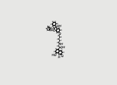 O=C(O[C@H]1CN2CCC1CC2)C(O)(c1ccccc1)c1ccc(OCCCCCNC[C@H](O)c2ccc(O)c3[nH]c(=O)ccc23)cc1